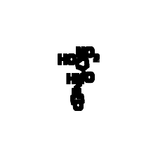 O=C(NCCN1CCOCC1)c1ccc([N+](=O)[O-])c(O)c1